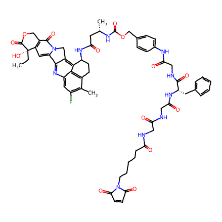 CC[C@@]1(O)C(=O)OCc2c1cc1n(c2=O)Cc2c-1nc1cc(F)c(C)c3c1c2[C@@H](NC(=O)C[C@H](C)NC(=O)OCc1ccc(NC(=O)CNC(=O)[C@H](Cc2ccccc2)NC(=O)CNC(=O)CNC(=O)CCCCCN2C(=O)C=CC2=O)cc1)CC3